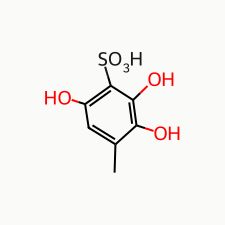 Cc1cc(O)c(S(=O)(=O)O)c(O)c1O